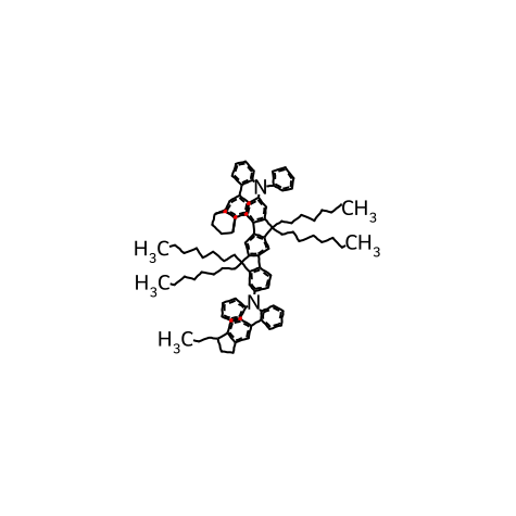 CCCCCCCCC1(CCCCCCCC)c2cc(N(c3ccccc3)c3ccccc3-c3ccc4c(c3)CCC4CCC)ccc2-c2cc3c(cc21)-c1ccc(N(c2ccccc2)c2ccccc2-c2ccc4c(c2)C2CCC4CC2)cc1C3(CCCCCCCC)CCCCCCCC